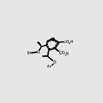 CCOC(C)c1ccc(C(=O)O)c(C(=O)O)c1C(C)OCC